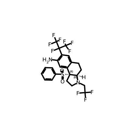 Nc1cc2c(cc1C(F)(C(F)(F)F)C(F)(F)F)CC[C@H]1N(CC(F)(F)F)CC[C@@]21S(=O)(=O)c1ccccc1